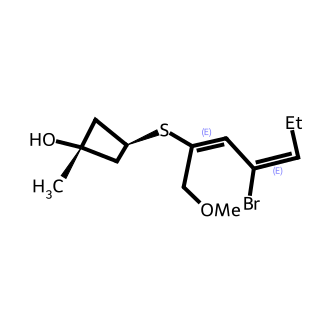 CC/C=C(Br)\C=C(/COC)S[C@H]1C[C@](C)(O)C1